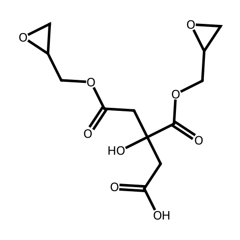 O=C(O)CC(O)(CC(=O)OCC1CO1)C(=O)OCC1CO1